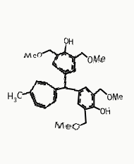 COCc1cc(C(C2=CC=C=C(C)C=C2)c2cc(COC)c(O)c(COC)c2)cc(COC)c1O